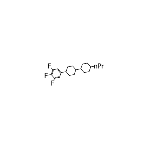 CCCC1CCC(C2CCC(c3cc(F)c(F)c(F)c3)CC2)CC1